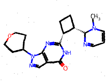 CN1C=CC=NC1[C@H]1CC[C@H]1c1nc2c(cnn2C2CCOCC2)c(=O)[nH]1